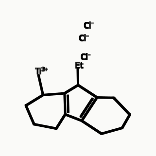 CCC1C2=C(CCCC2)C2=C1[CH]([Ti+3])CCC2.[Cl-].[Cl-].[Cl-]